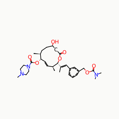 C/C(=C\c1cccc(COC(=O)N(C)C)c1)[C@H]1OC(=O)C[C@H](O)CC[C@H](C)[C@@H](OC(=O)N2CCN(C)CC2)/C=C/[C@@H]1C